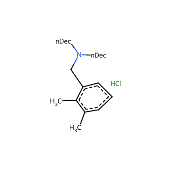 CCCCCCCCCCN(CCCCCCCCCC)Cc1cccc(C)c1C.Cl